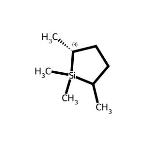 CC1CC[C@@H](C)[Si]1(C)C